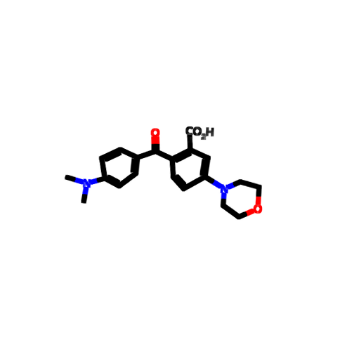 CN(C)c1ccc(C(=O)c2ccc(N3CCOCC3)cc2C(=O)O)cc1